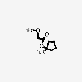 CC(C)OCC(=O)OC1(C)CCCC1